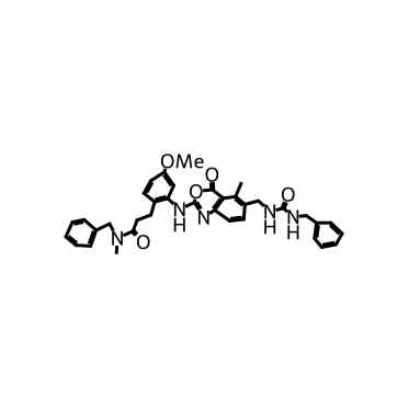 COc1ccc(CCC(=O)N(C)Cc2ccccc2)c(Nc2nc3ccc(CNC(=O)NCc4ccccc4)c(C)c3c(=O)o2)c1